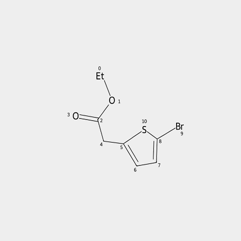 CCOC(=O)Cc1ccc(Br)s1